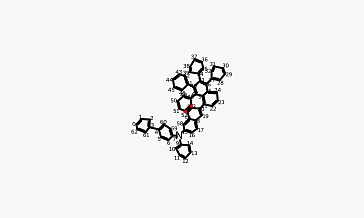 c1ccc(-c2ccc(N(c3ccccc3)c3ccc4cc(-c5cccc6c(-c7ccccc7)c(-c7ccccc7)c(-c7ccccc7)c(-c7ccccc7)c56)ccc4c3)cc2)cc1